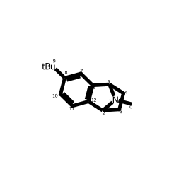 CN1C2CCC1c1cc(C(C)(C)C)ccc12